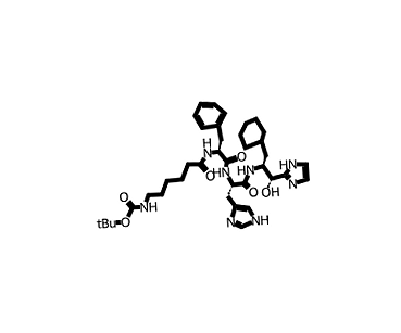 CC(C)(C)OC(=O)NCCCCCC(=O)N[C@@H](Cc1ccccc1)C(=O)N[C@@H](Cc1c[nH]cn1)C(=O)N[C@@H](CC1CCCCC1)[C@@H](O)c1ncc[nH]1